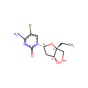 CC[C@]1(CO)O[C@@H](n2cc(Br)c(N)nc2=O)C[C@@H]1O